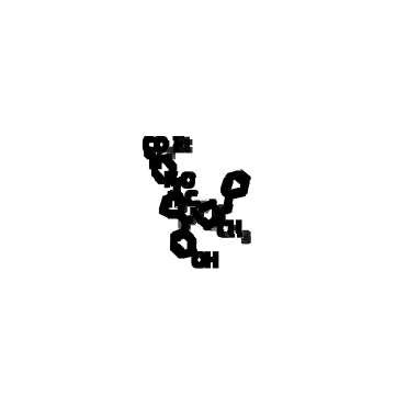 CCOC(=O)CN1CCN(C(=O)c2cccc([C@H](c3cccc(O)c3)N3C[C@@H](C)N(Cc4ccccc4)C[C@@H]3C)c2)CC1